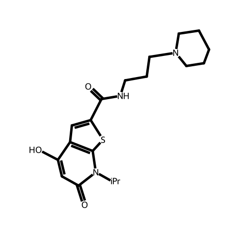 CC(C)n1c(=O)cc(O)c2cc(C(=O)NCCCN3CCCCC3)sc21